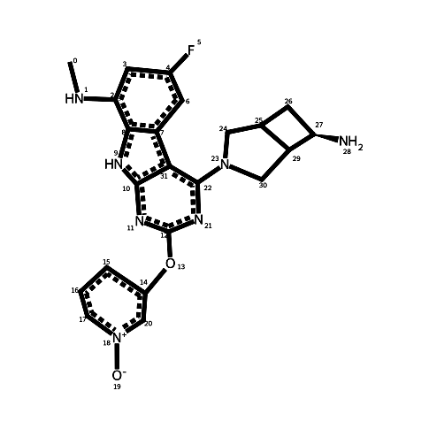 CNc1cc(F)cc2c1[nH]c1nc(Oc3ccc[n+]([O-])c3)nc(N3CC4C[C@@H](N)C4C3)c12